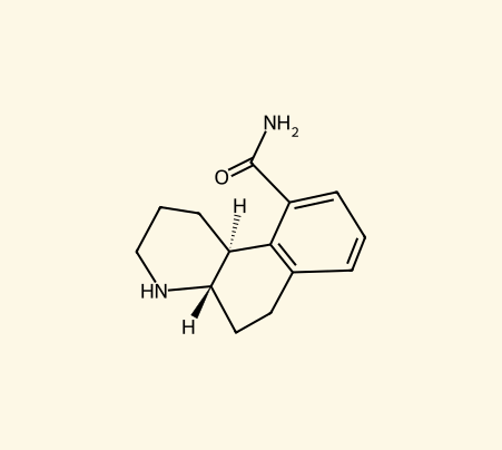 NC(=O)c1cccc2c1[C@@H]1CCCN[C@H]1CC2